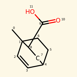 CC12C=CC(CC1)CC2C(=O)O